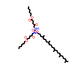 CCCCCCOC(=O)CCC(=O)CNP(=O)(NCC(=O)CCC(=O)OCCCCCC)OCCC/C(C)=C/CC/C(C)=C/CC/C=C(\C)CC/C=C(\C)CCC=C(C)C